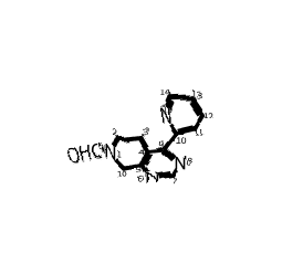 O=CN1CCc2c(ncnc2-c2ccccn2)C1